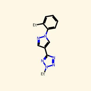 CCc1ccccc1-n1cc(-c2nnn(CC)n2)cn1